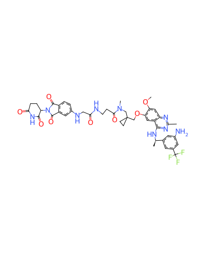 COc1cc2nc(C)nc(N[C@H](C)c3cc(N)cc(C(F)(F)F)c3)c2cc1OCC1(CN(C)C(=O)CCNC(=O)CNc2ccc3c(c2)C(=O)N(C2CCC(=O)NC2=O)C3=O)CC1